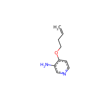 C=CCCOc1ccncc1N